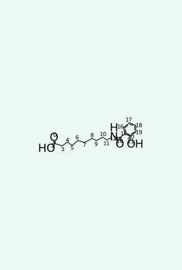 O=C(O)CCCCCCCCCNC(=O)c1ccccc1O